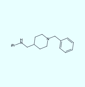 CC(C)NCC1CCN(Cc2ccccc2)CC1